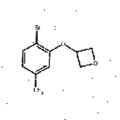 FC(F)(F)c1ccc(Br)c(OC2COC2)c1